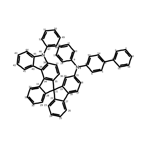 c1ccc(-c2ccc(N(c3ccccc3)c3ccc4c(c3)C3(c5ccccc5-4)c4ccccc4-c4c3ccc3c4c4ccccc4n3-c3ccccc3)cc2)cc1